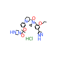 CCCOc1cc(-c2cn[nH]c2)ccc1CN(C(=O)[C@@H]1CCCN(c2cccc(OC(C)(C)C(=O)N3CCNCC3)c2)C1)C1CC1.Cl